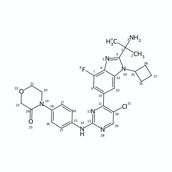 CC(C)(N)c1nc2c(F)cc(-c3nc(Nc4ccc(N5CCOCC5=O)cc4)ncc3Cl)cc2n1C1CCC1